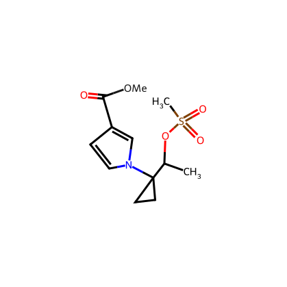 COC(=O)c1ccn(C2(C(C)OS(C)(=O)=O)CC2)c1